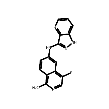 Cc1ncc(F)c2cc(Nc3n[nH]c4cccnc34)ccc12